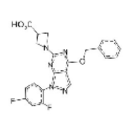 O=C(O)C1CN(c2nc(OCc3ccccc3)c3cnn(-c4ccc(F)cc4F)c3n2)C1